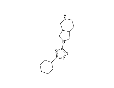 c1nc(N2CC3CCNCC3C2)sc1C1CCCCC1